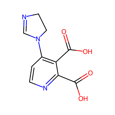 O=C(O)c1nccc(N2C=NCC2)c1C(=O)O